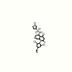 Cc1cc(=O)c2c(NS(=O)(=O)c3cn[nH]c3)cncc2n1-c1c(Cl)cc(C#N)cc1Cl